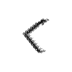 O=[Si]([O-])[O-].O=[Si]([O-])[O-].O=[Si]([O-])[O-].O=[Si]([O-])[O-].O=[Si]([O-])[O-].O=[Si]([O-])[O-].O=[Si]([O-])[O-].O=[Si]([O-])[O-].O=[Si]([O-])[O-].O=[Si]([O-])[O-].O=[Si]([O-])[O-].[Al+3].[Al+3].[Fe+3].[Fe+3].[K+].[K+].[Mg+2].[Mg+2].[Mn+2].[Mn+2]